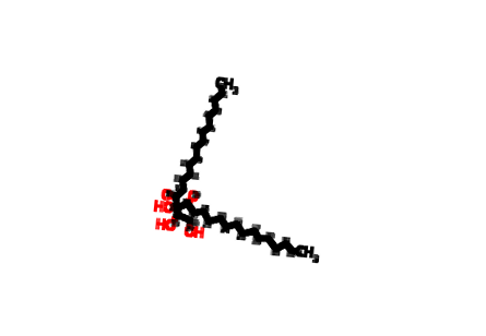 CCCCCCCCCCCCCCC(=O)C(O)(C(=O)CCCCCCCCCCCCCC)C(O)CO